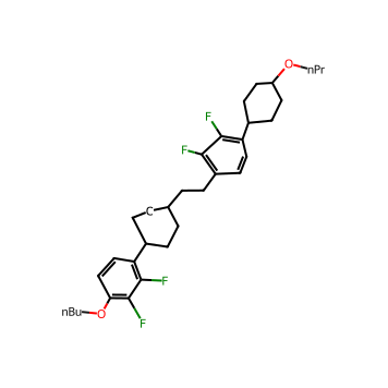 CCCCOc1ccc(C2CCC(CCc3ccc(C4CCC(OCCC)CC4)c(F)c3F)CC2)c(F)c1F